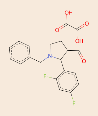 O=C(O)C(=O)O.O=CC1CCN(Cc2ccccc2)C1c1ccc(F)cc1F